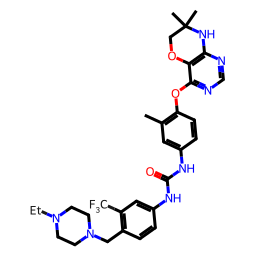 CCN1CCN(Cc2ccc(NC(=O)Nc3ccc(Oc4ncnc5c4OCC(C)(C)N5)c(C)c3)cc2C(F)(F)F)CC1